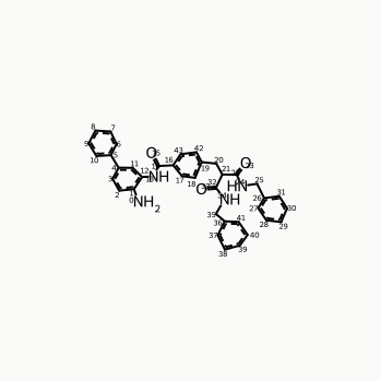 Nc1ccc(-c2ccccc2)cc1NC(=O)c1ccc(CC(C(=O)NCc2ccccc2)C(=O)NCc2ccccc2)cc1